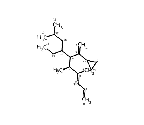 C=C/N=C(\C)[C@@H](C)C(C(=C)C1CC1)C(CC)CC(C)C